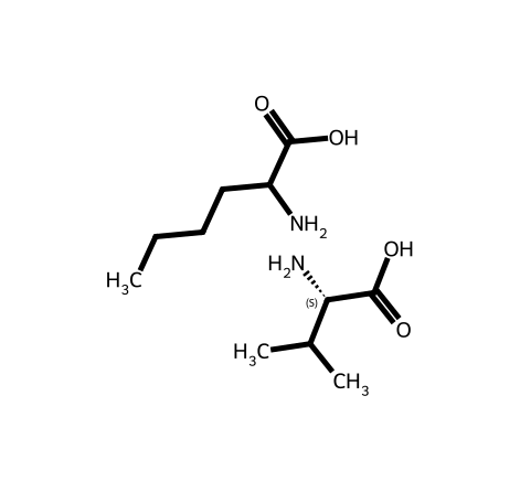 CC(C)[C@H](N)C(=O)O.CCCCC(N)C(=O)O